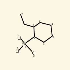 CCC1CCCCC1[Si](Cl)(Cl)Cl